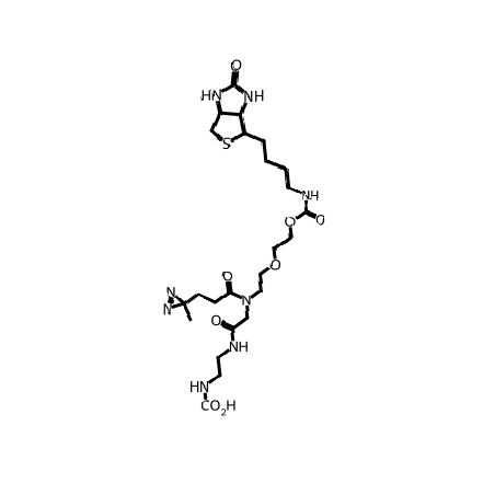 CC1(CCC(=O)N(CCOCCOC(=O)NCCCCC2SCC3NC(=O)NC32)CC(=O)NCCNC(=O)O)N=N1